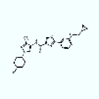 O=C(Nc1cn([C@H]2CC[C@H](S)CC2)nc1C(F)(F)F)c1coc(-c2ccnc(NCC3CC3)c2)n1